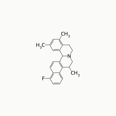 Cc1cc(C)c2c(c1)C1c3ccc4c(F)cccc4c3C(C)CN1CC2